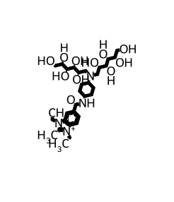 CCn1c(C)[n+](CC)c2ccc(C(=O)N[C@H]3CC[C@H](N(C[C@H](O)[C@@H](O)[C@H](O)[C@H](O)CO)C[C@H](O)[C@@H](O)[C@H](O)[C@H](O)CO)CC3)cc21